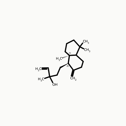 C=CC(C)(O)CC[C@@H]1C(=C)CCC2C(C)(C)CCC[C@@]21C